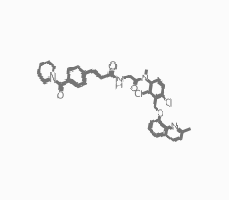 Cc1ccc2cccc(OCc3c(Cl)ccc(N(C)C(=O)CNC(=O)C=Cc4ccc(C(=O)N5CCCCC5)cc4)c3Cl)c2n1